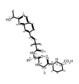 CC(O)c1ncc2ccc(/C=C/C(C)(C)C(=O)N[C@H](C(=O)N[C@@H](C)C(=O)N3CCC[C@@H](C(=O)O)N3)C(C)C)cc2n1